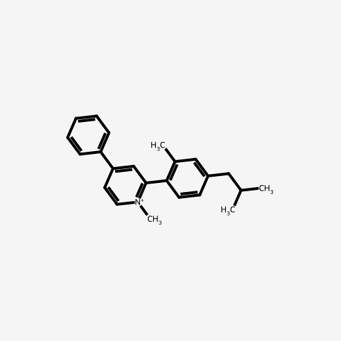 Cc1cc(CC(C)C)ccc1-c1cc(-c2ccccc2)cc[n+]1C